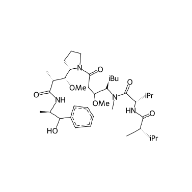 CC[C@H](C)C(C(CC(=O)N1CCC[C@H]1[C@H](OC)[C@@H](C)C(=O)N[C@H](C)C(O)c1ccccc1)OC)N(C)C(=O)[C@@H](NC(=O)[C@@H](C)C(C)C)C(C)C